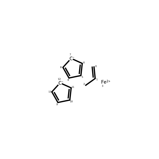 C=CC.[Fe+2].c1cc[cH-]c1.c1cc[cH-]c1